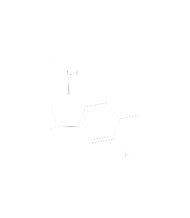 CNC1COc2cc(Br)c(F)cc21